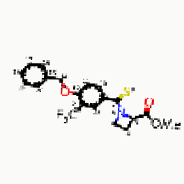 COC(=O)C1CCN1C(=S)c1ccc(OCc2ccccc2)c(C(F)(F)F)c1